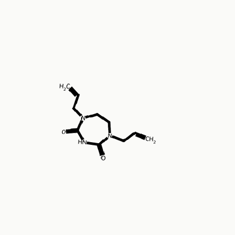 C=CCN1CCN(CC=C)C(=O)NC1=O